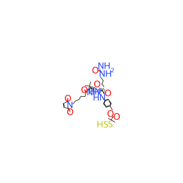 CC(C)[C@@H](NC(=O)CCCCCN1C(=O)C=CC1=O)C(=O)N[C@H](CCCCNC(N)=O)C(=O)Nc1ccc(COC(=O)C(C)(C)SS)cc1